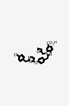 O=C(O)c1ccc2nc(Cc3ccc(Oc4ccnc(Cc5ccc(Cl)cc5)n4)cc3)n(CC3CCO3)c2c1